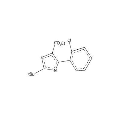 CCOC(=O)c1sc(C(C)(C)C)nc1-c1ccccc1Cl